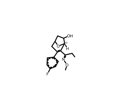 CCC(=NOC)C1=C(c2ccc(F)cc2)CC2CC(O)[C@H]1O2